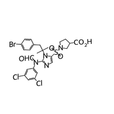 CC(C)(Cc1ccc(Br)cc1)n1c(S(=O)(=O)N2CCC(C(=O)O)C2)cnc1N(C=O)c1cc(Cl)cc(Cl)c1